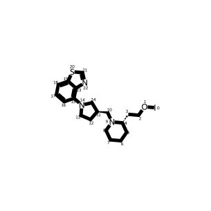 IOCC[C@@H]1CCCCN1C[C@H]1CCN(c2cccc3scnc23)C1